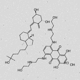 C=C1/C(=C\C=C2/CCC[C@]3(C)[C@@H]([C@H](C)CCCC(C)(C)O)CC[C@@H]23)C[C@@H](O)C[C@@H]1O.Cl.Cl.O=C1c2c(O)ccc(O)c2C(=O)c2c(NCCNCCO)ccc(NCCNCCO)c21